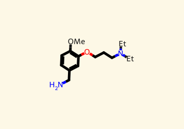 CCN(CC)CCCOc1cc(CN)ccc1OC